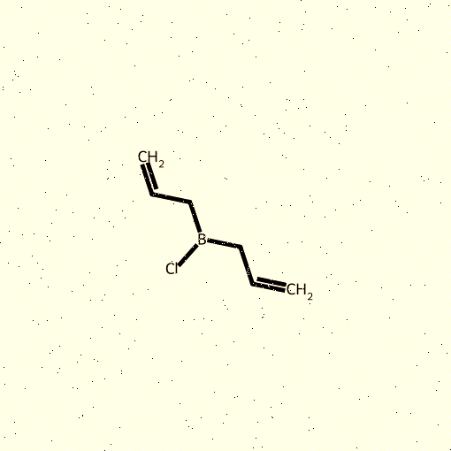 C=CCB(Cl)CC=C